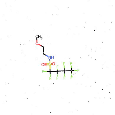 COCCNS(=O)(=O)C(F)(F)C(F)(F)C(F)(F)C(F)(F)F